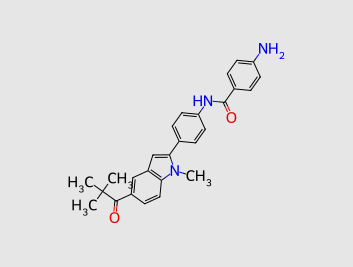 Cn1c(-c2ccc(NC(=O)c3ccc(N)cc3)cc2)cc2cc(C(=O)C(C)(C)C)ccc21